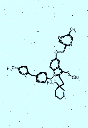 Cc1cnc(COc2ccc3c(c2)c(SC(C)(C)C)c(CC2(C(=O)O)CCCCC2)n3Cc2ccc(-c3ccc(C(F)(F)F)cn3)cc2)cn1